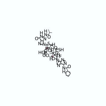 CC(C)C(=O)Nc1nc2c(ncn2[C@@H]2S[C@@H]3COP(S)O[C@H]4[C@H](F)[C@H](n5cnc6c(NC(=O)c7ccccc7)ncnc65)O[C@@H]4COP(=O)(O)O[C@@H]2[C@@H]3O[Si](C)(C)C(C)(C)C)c(=O)[nH]1